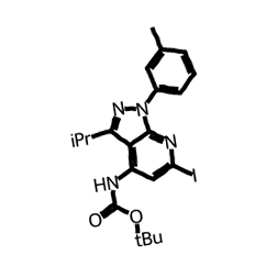 Cc1cccc(-n2nc(C(C)C)c3c(NC(=O)OC(C)(C)C)cc(I)nc32)c1